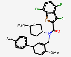 CN[C@H]1CC[C@H](N(CC2=CC(c3ccc(C(C)=O)cc3)CC=C2OC)C(=O)c2sc3c(F)ccc(F)c3c2Cl)CC1